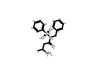 CC(N)CC(=O)N(Cc1ccccc1)S(=O)(=O)c1ccccc1